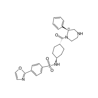 O=C([C@H]1CC[C@H](NS(=O)(=O)c2ccc(-c3ncco3)cc2)CC1)N1CCNC[C@@H]1c1ccccc1